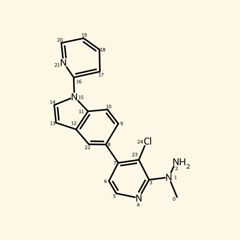 CN(N)c1nccc(-c2ccc3c(ccn3-c3ccccn3)c2)c1Cl